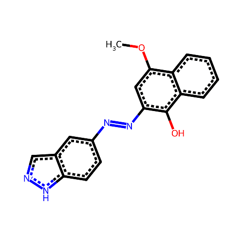 COc1cc(N=Nc2ccc3[nH]ncc3c2)c(O)c2ccccc12